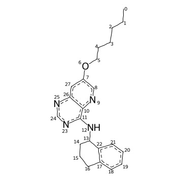 CCCCCCOc1cnc2c(NC3CCCc4ccccc43)ncnc2c1